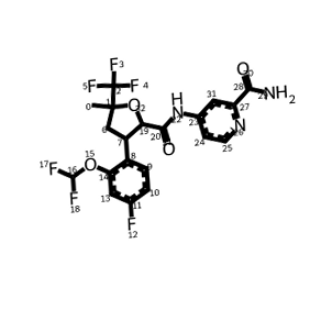 CC1(C(F)(F)F)CC(c2ccc(F)cc2OC(F)F)C(C(=O)Nc2ccnc(C(N)=O)c2)O1